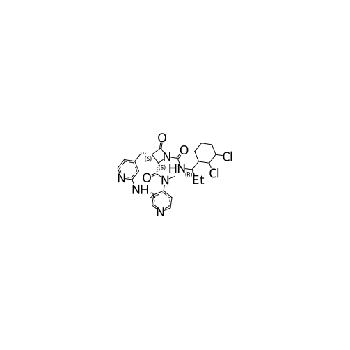 CC[C@@H](NC(=O)N1C(=O)[C@@H](Cc2ccnc(N)c2)[C@H]1C(=O)N(C)c1ccncc1)C1CCCC(Cl)C1Cl